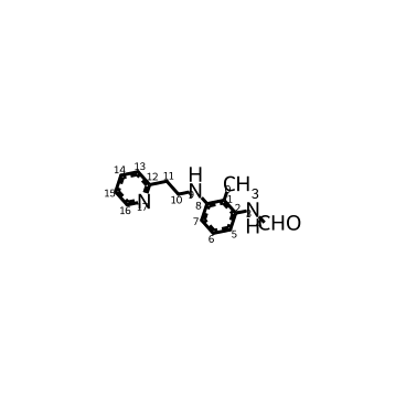 Cc1c(NC=O)cccc1NCCc1ccccn1